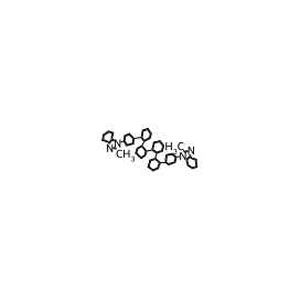 Cc1nc2ccccc2n1-c1ccc(-c2ccccc2-c2ccccc2-c2ccccc2-c2ccccc2-c2ccc(-n3c(C)nc4ccccc43)cc2)cc1